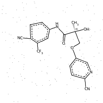 C[C@](O)(COc1ccc(C#N)nc1)C(=O)Nc1ccc(C#N)c(C(F)(F)F)c1